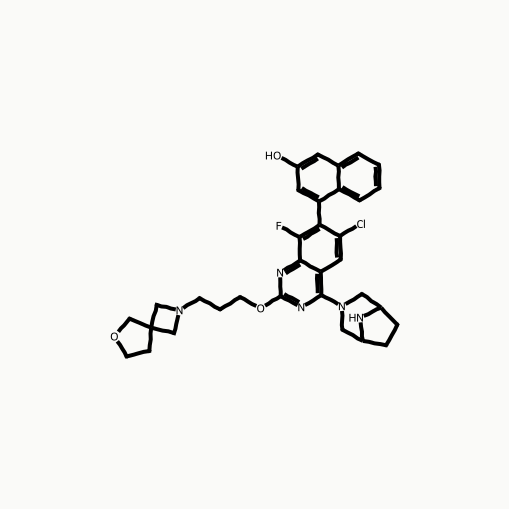 Oc1cc(-c2c(Cl)cc3c(N4CC5CCC(C4)N5)nc(OCCCN4CC5(CCOC5)C4)nc3c2F)c2ccccc2c1